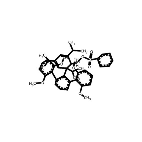 COc1cccc(OC)c1-c1cccc(-c2c(OC)cccc2OC)c1C1(C(C)C)C=C(C(C)C)C=C(C(C)C)C1POS(=O)(=O)c1ccccc1